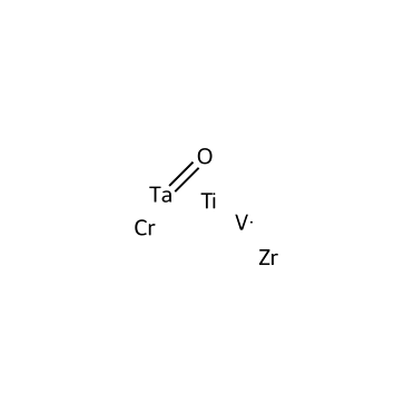 [Cr].[O]=[Ta].[Ti].[V].[Zr]